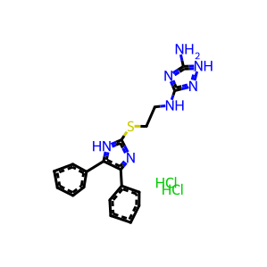 Cl.Cl.Nc1nc(NCCSc2nc(-c3ccccc3)c(-c3ccccc3)[nH]2)n[nH]1